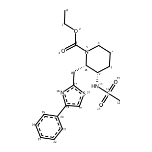 CCOC(=O)N1CCC[C@H](NS(C)(=O)=O)[C@@H]1Cc1nc(-c2ccccc2)cs1